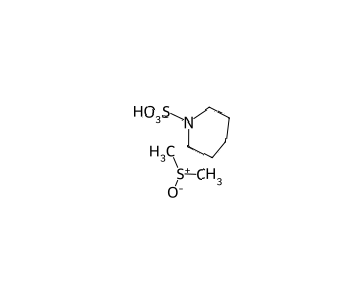 C[S+](C)[O-].O=S(=O)(O)N1CCCCC1